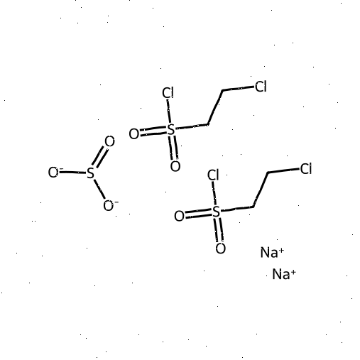 O=S(=O)(Cl)CCCl.O=S(=O)(Cl)CCCl.O=S([O-])[O-].[Na+].[Na+]